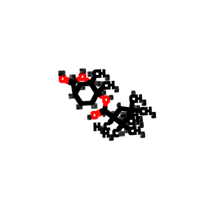 CC(C)(C)CC(C)(C(=O)OC1(C)CCC2CC1(C)OC2=O)C(C)(C)C